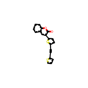 O=c1oc2ccccc2cc1-c1ccc(C#Cc2cccs2)s1